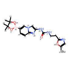 CC(C)(C)c1cnc(CCNC(=O)Nc2cn3cc(B4OC(C)(C)C(C)(C)O4)ccc3n2)o1